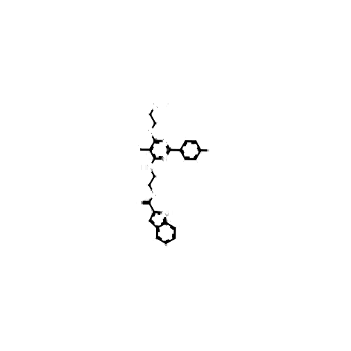 CC(=O)NCCNc1nc(-c2ccc(Cl)cc2)nc(NCCNC(=O)c2cc3ccccc3[nH]2)c1C